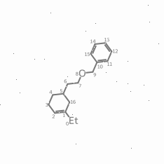 CCC1=CCCC(CCOCc2ccccc2)C1